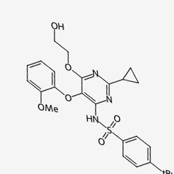 COc1ccccc1Oc1c(NS(=O)(=O)c2ccc(C(C)(C)C)cc2)nc(C2CC2)nc1OCCO